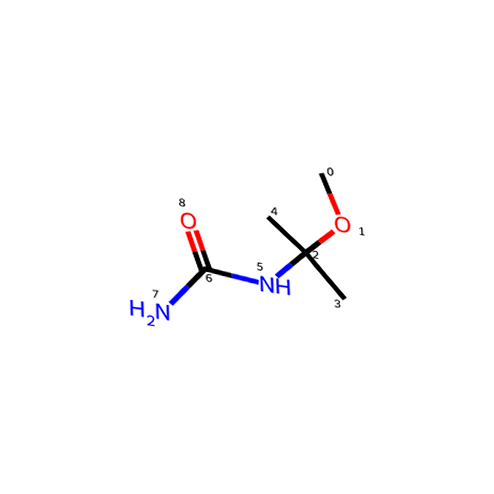 COC(C)(C)NC(N)=O